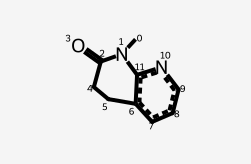 CN1C(=O)CCc2cccnc21